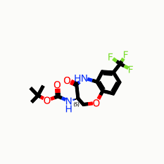 CC(C)(C)OC(=O)N[C@H]1COc2ccc(C(F)(F)F)cc2NC1=O